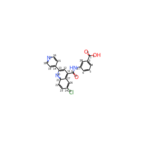 O=C(O)c1cccc(NC(=O)c2cc(-c3ccncc3)nc3ccc(Cl)cc23)c1